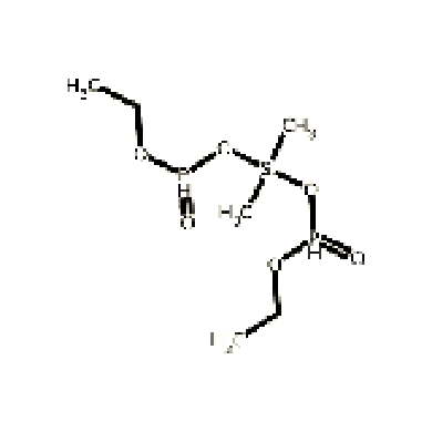 CCO[PH](=O)O[Si](C)(C)O[PH](=O)OCC